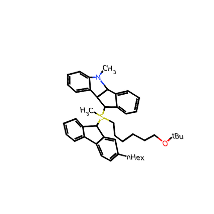 CCCCCCc1ccc2c(c1)C(S(C)(CCCCCCOC(C)(C)C)C1c3ccccc3C3C1c1ccccc1N3C)c1ccccc1-2